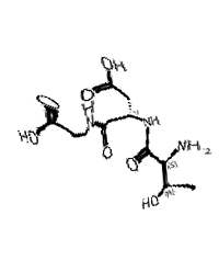 C[C@@H](O)[C@H](N)C(=O)N[C@@H](CC(=O)O)C(=O)NCC(=O)O